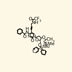 CSS[C@H](C)O[C@@H]1C[C@H](n2cc(C#CCNC(=O)C(F)(F)F)c(NC(=O)c3ccccc3)nc2=O)O[C@@H]1CO[Si](c1ccccc1)(c1ccccc1)C(C)(C)C